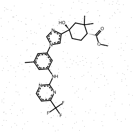 COC(=O)[C@@H]1CC[C@](O)(c2cn(-c3cc(C)cc(Nc4nccc(C(F)(F)F)n4)c3)cn2)CC1(C)C